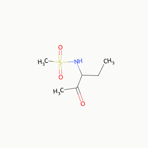 CCC(NS(C)(=O)=O)C(C)=O